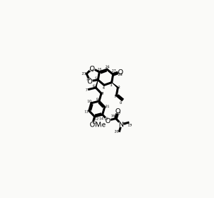 C=CC[C@H]1C[C@]2(C(C)Cc3ccc(OC)c(OC(=O)N(C)C)c3)OCOC2=CC1=O